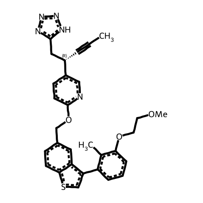 CC#C[C@@H](Cc1nnn[nH]1)c1ccc(OCc2ccc3scc(-c4cccc(OCCOC)c4C)c3c2)nc1